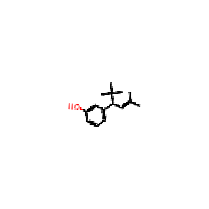 CC(C)=CC(c1cccc(O)c1)C(C)(C)C